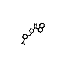 c1cc(CN2CC[C@H](Nc3cccc4cnccc34)C2)cc(C2CC2)c1